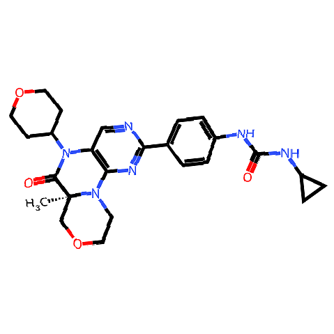 C[C@@]12COCCN1c1nc(-c3ccc(NC(=O)NC4CC4)cc3)ncc1N(C1CCOCC1)C2=O